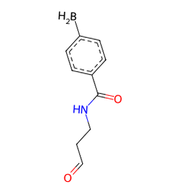 Bc1ccc(C(=O)NCCC=O)cc1